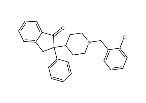 O=C1c2ccccc2CC1(c1ccccc1)C1CCN(Cc2ccccc2Cl)CC1